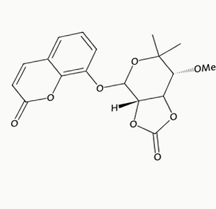 CO[C@@H]1C2OC(=O)O[C@@H]2C(Oc2cccc3ccc(=O)oc23)OC1(C)C